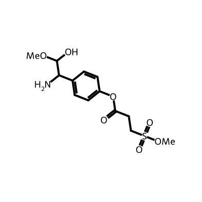 COC(O)C(N)c1ccc(OC(=O)CCS(=O)(=O)OC)cc1